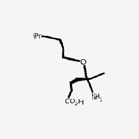 CC(C)CCOC(C)(N)CC(=O)O